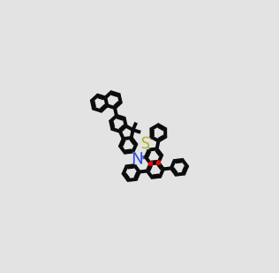 CC1(C)c2cc(-c3cccc4ccccc34)ccc2-c2ccc(N(c3ccccc3-c3ccc(-c4ccccc4)cc3)c3cccc4c3sc3ccccc34)cc21